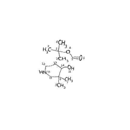 CC(C)(C)OC=O.CC1(C)CNCCC1O